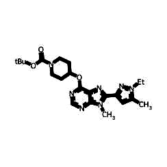 CCn1nc(-c2nc3c(OC4CCN(C(=O)OC(C)(C)C)CC4)ncnc3n2C)cc1C